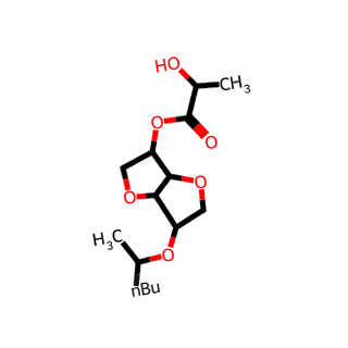 CCCCC(C)OC1COC2C(OC(=O)C(C)O)COC12